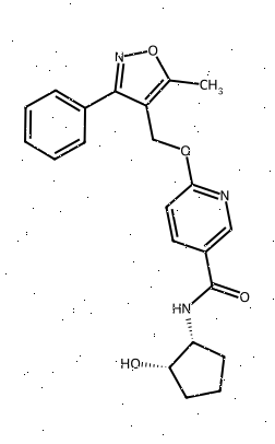 Cc1onc(-c2ccccc2)c1COc1ccc(C(=O)N[C@@H]2CCC[C@@H]2O)cn1